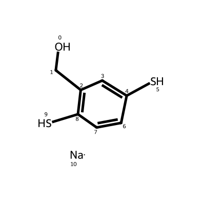 OCc1cc(S)ccc1S.[Na]